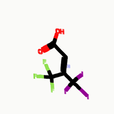 O=C(O)/C=C(\C(F)(F)F)C(I)(I)I